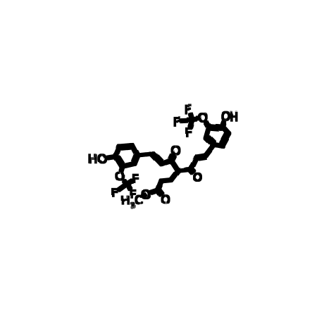 COC(=O)CCC(C(=O)C=Cc1ccc(O)c(OC(F)(F)F)c1)C(=O)C=Cc1ccc(O)c(OC(F)(F)F)c1